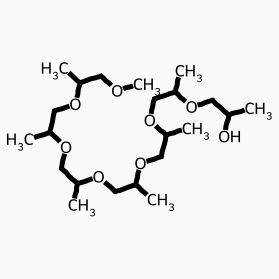 COCC(C)OCC(C)OCC(C)OCC(C)OCC(C)OCC(C)OCC(C)O